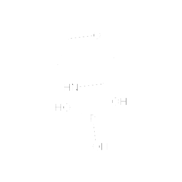 C1COCCN1.OP(O)O